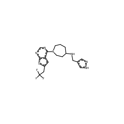 FC(F)(F)Cc1cc2c(N3CCCC(NCc4cn[nH]c4)CC3)ncnc2s1